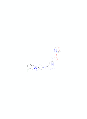 O=C(Nc1cc2c(CNc3ccc4c(cnn4Cc4cccc(F)c4)c3)ncnn2c1)OC[C@@H]1COCCN1